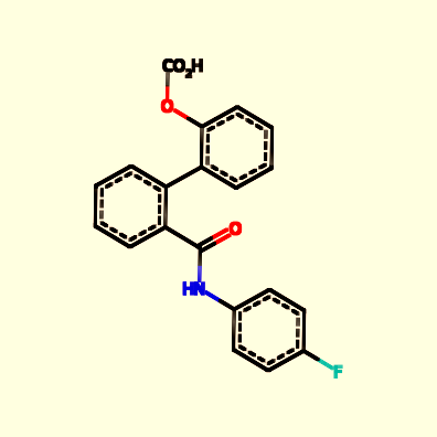 O=C(O)Oc1ccccc1-c1ccccc1C(=O)Nc1ccc(F)cc1